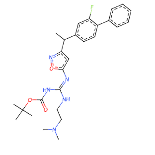 CC(c1ccc(-c2ccccc2)c(F)c1)c1cc(/N=C(/NCCN(C)C)NC(=O)OC(C)(C)C)on1